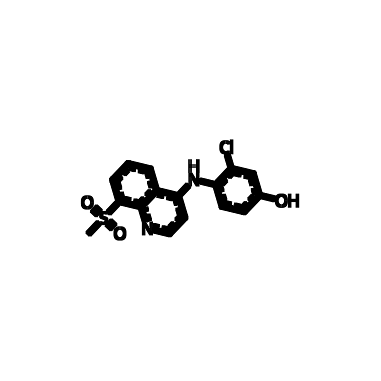 CS(=O)(=O)c1cccc2c(Nc3ccc(O)cc3Cl)ccnc12